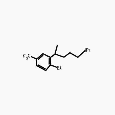 CCc1ccc(C(F)(F)F)cc1C(C)CCCC(C)C